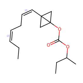 CC/C=C\C/C=C\C12CC1(OC(=O)OC(C)CC)C2